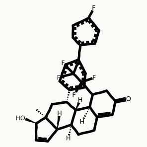 C[C@]12C[C@H](c3ccc(-c4ccc(F)cc4)cc3)[C@H]3[C@@H](CCC4=CC(=O)CC(C(F)(F)C(F)(F)F)[C@@H]43)[C@@H]1C=C[C@H]2O